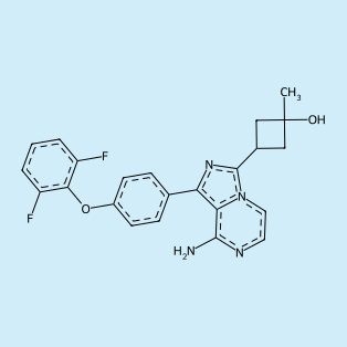 CC1(O)CC(c2nc(-c3ccc(Oc4c(F)cccc4F)cc3)c3c(N)nccn23)C1